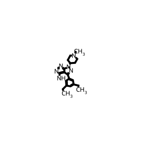 CCc1cc(CC)cc(-c2nn(C3CCN(C)CC3)c3ncnc(N)c23)c1